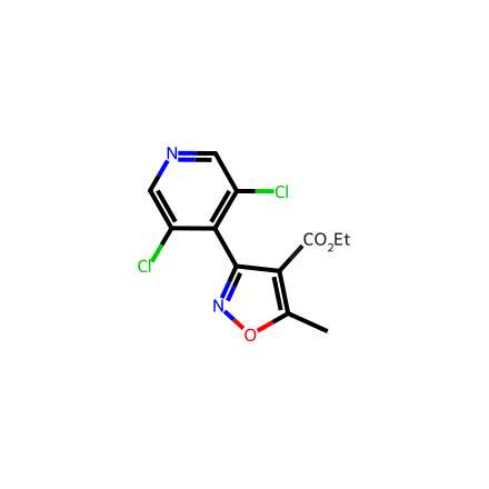 CCOC(=O)c1c(-c2c(Cl)cncc2Cl)noc1C